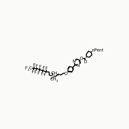 CCCCC[C@H]1CC[C@H](C(=O)Oc2cnc(-c3ccc(OCCCC[Si](C)(C)CCC(F)(F)C(F)(F)C(F)(F)C(F)(F)C(F)(F)C(F)(F)F)cc3)nc2)CC1